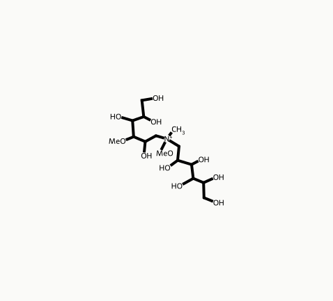 COC(C(O)C[N+](C)(CC(O)C(O)C(O)C(O)CO)OC)C(O)C(O)CO